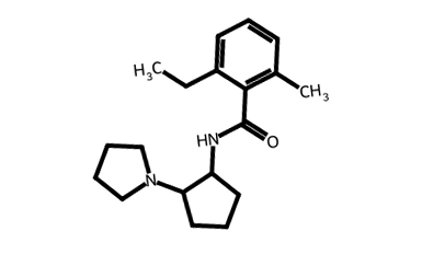 CCc1cccc(C)c1C(=O)NC1CCCC1N1CCCC1